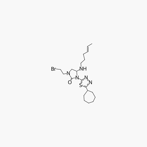 CC=CCCCNC1CN(CCBr)C(=O)N1c1nnc(C2CCCCCC2)s1